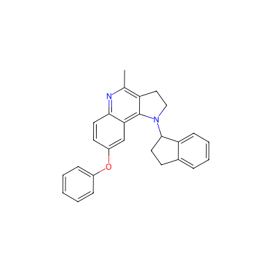 Cc1nc2ccc(Oc3ccccc3)cc2c2c1CCN2C1CCc2ccccc21